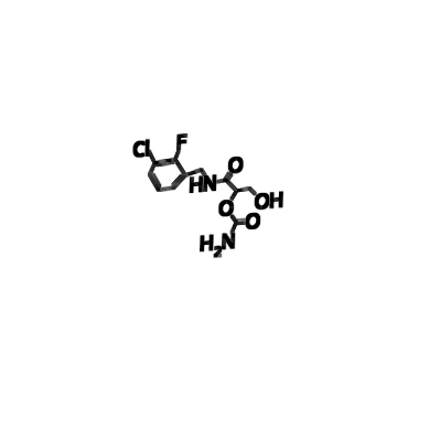 NC(=O)OC(CO)C(=O)NCc1cccc(Cl)c1F